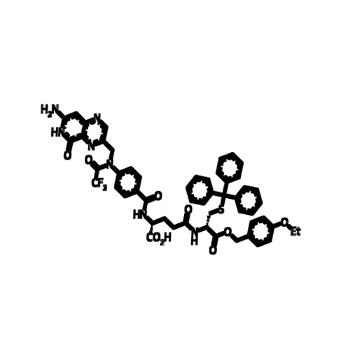 CCOc1ccc(COC(=O)[C@@H](CSC(c2ccccc2)(c2ccccc2)c2ccccc2)NC(=O)CC[C@@H](NC(=O)c2ccc(N(Cc3cnc4cc(N)[nH]c(=O)c4n3)C(=O)C(F)(F)F)cc2)C(=O)O)cc1